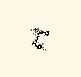 COc1ccc(CC(NC(=O)/C=C/C[C@H](O[Si](C)(C)C(C)(C)C)[C@H](C)/C=C/c2ccccn2)C(=O)O)cc1Cl